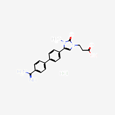 Cl.Cn1c(-c2ccc(-c3ccc(C(=N)N)cc3)cc2)cn(CCC(=O)O)c1=O